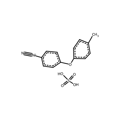 Cc1ccc(Oc2ccc([N+]#N)cc2)cc1.O=S(=O)(O)O